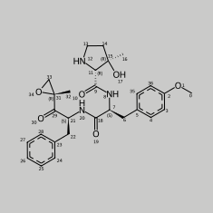 COc1ccc(C[C@H](NC(=O)[C@@H]2NCC[C@@]2(C)O)C(=O)N[C@@H](Cc2ccccc2)C(=O)[C@@]2(C)CO2)cc1